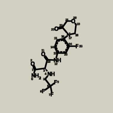 NC(=O)[C@@H](NCC(F)(F)F)C(=O)Nc1ccc(N2CCOCC2=O)c(F)c1